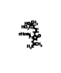 CCCCCC/C=C/[C@H]1[C@H](CN(C)C)CC(=O)[C@@H]1C/C=C\CCC(C)(O)C(=O)O